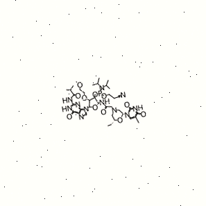 CC[C@@H]1CN(CC(=O)N[C@H]2O[C@@H](n3cnc4c(=O)[nH]c(NC(=O)C(C)C)nc43)C(OCCOC)[C@H]2OP(OCCC#N)N(C(C)C)C(C)C)C[C@H](n2cc(C)c(=O)[nH]c2=O)O1